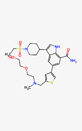 CCS(=O)(=O)N1CCC(c2c[nH]c3c(C(N)=O)cc(-c4csc(CN(C)CCOCCO)c4)cc23)CC1